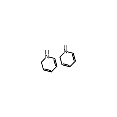 C1=CCNC=C1.C1=CCNC=C1